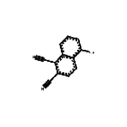 N#Cc1ccc2c([O])cccc2c1C#N